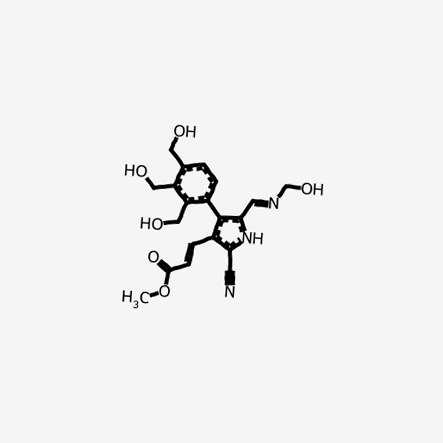 COC(=O)/C=C/c1c(C#N)[nH]c(/C=N/CO)c1-c1ccc(CO)c(CO)c1CO